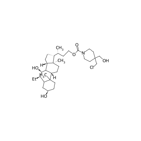 CC[C@@H]1C2C[C@H](O)CCC2(C)[C@H]2CC[C@]3(C)[C@@H]([C@H](C)CCOC(=O)N4CCC(CO)(CCl)CC4)CC[C@H]3C2[C@@H]1O